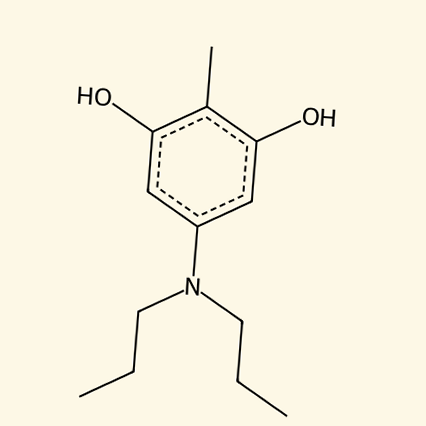 CCCN(CCC)c1cc(O)c(C)c(O)c1